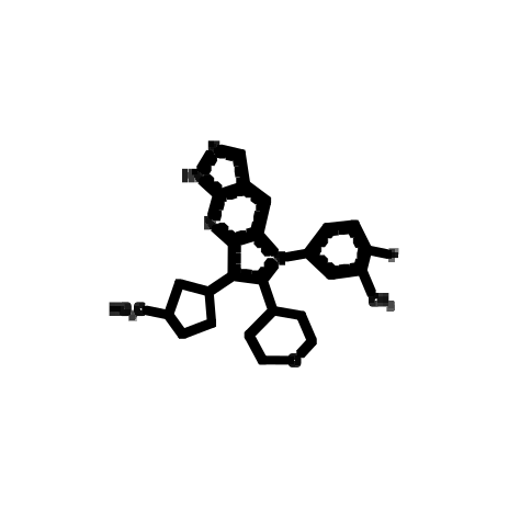 Cc1cc(-n2c(C3CCOCC3)c(C3CCC(C(=O)O)C3)c3nc4[nH]ncc4cc32)ccc1F